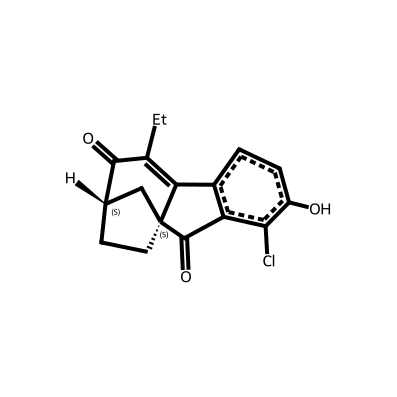 CCC1=C2c3ccc(O)c(Cl)c3C(=O)[C@]23CC[C@@H](C3)C1=O